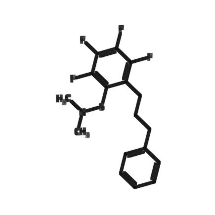 CN(C)Sc1c(F)c(F)c(F)c(F)c1CCCc1ccccc1